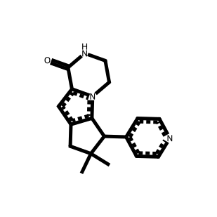 CC1(C)Cc2cc3n(c2C1c1ccncc1)CCNC3=O